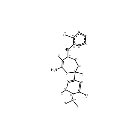 CC1=C(N)CC(C)(C2=CN(C)C(N(C)C)C(Cl)=C2)CCC1Nc1ccccc1Cl